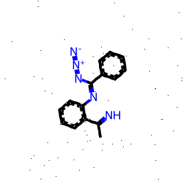 CC(=N)c1ccccc1/N=C(\N=[N+]=[N-])c1ccccc1